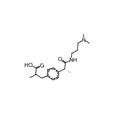 CC(Cc1ccc([C@@H](C)C(=O)NCCCN(C)C)cc1)C(=O)O